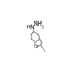 Cc1cc2cc(NN)ccc2o1